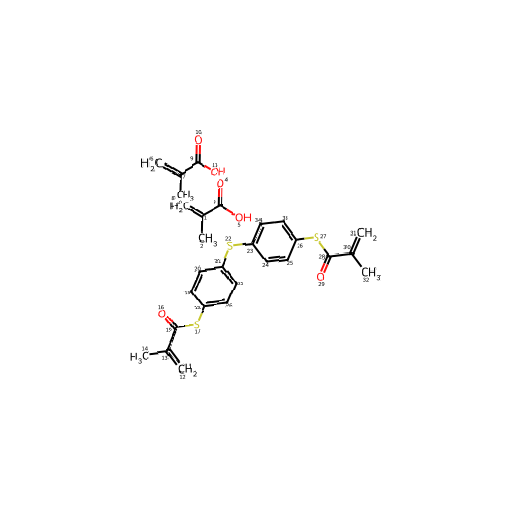 C=C(C)C(=O)O.C=C(C)C(=O)O.C=C(C)C(=O)Sc1ccc(Sc2ccc(SC(=O)C(=C)C)cc2)cc1